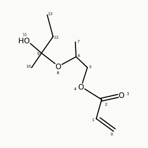 C=CC(=O)OCC(C)OC(C)(O)CC